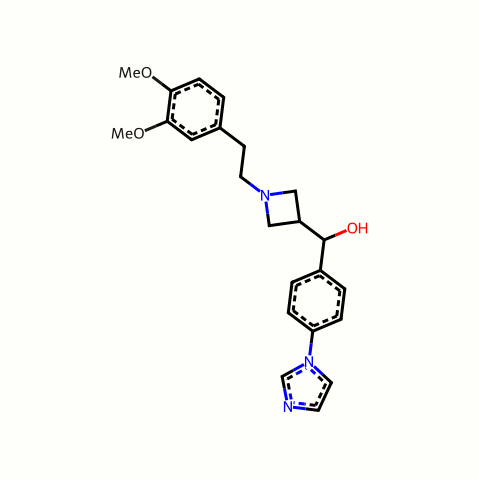 COc1ccc(CCN2CC(C(O)c3ccc(-n4ccnc4)cc3)C2)cc1OC